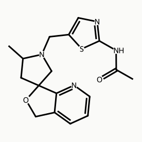 CC(=O)Nc1ncc(CN2CC3(CC2C)OCc2cccnc23)s1